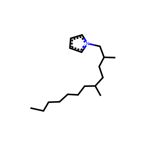 CCCCCCCC(C)CCC(C)Cn1cccc1